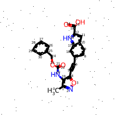 Cc1noc(C#Cc2ccc3cc(C(=O)O)[nH]c3c2)c1NC(=O)OCc1ccccc1